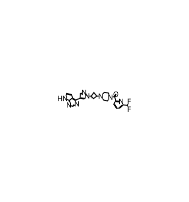 O=C(c1cccc(C(F)F)n1)N1CCN(C2C[C](n3cc(-c4ncnc5[nH]ccc45)cn3)C2)CC1